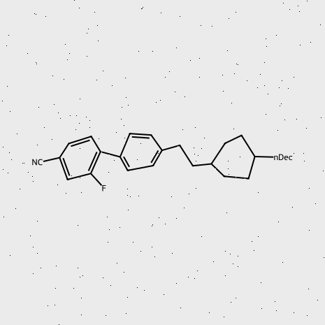 CCCCCCCCCCC1CCC(CCc2ccc(-c3ccc(C#N)cc3F)cc2)CC1